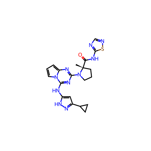 C[C@@]1(C(=O)Nc2ncns2)CCCN1c1nc(Nc2cc(C3CC3)n[nH]2)n2cccc2n1